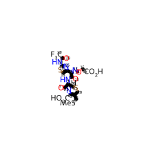 CSCC1=C(C(=O)O)N2C(=O)C(NC(=O)/C(=N\OCC(=O)O)c3csc(NC(=O)C(F)(F)F)n3)[C@H]2SC1